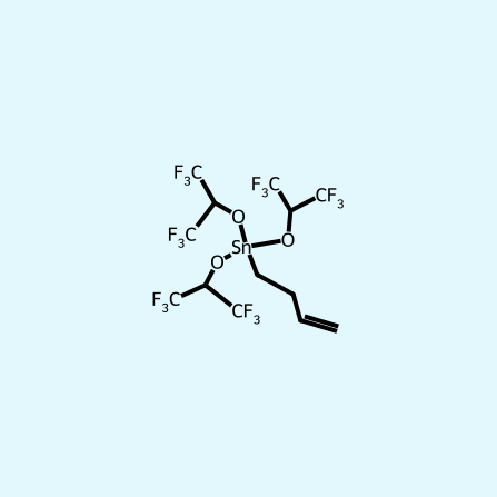 C=CC[CH2][Sn]([O]C(C(F)(F)F)C(F)(F)F)([O]C(C(F)(F)F)C(F)(F)F)[O]C(C(F)(F)F)C(F)(F)F